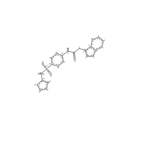 O=C(Cn1ccc2ccccc21)Nc1ccc(S(=O)(=O)Nc2nccs2)cc1